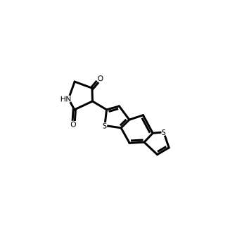 O=C1CNC(=O)C1c1cc2cc3sccc3cc2s1